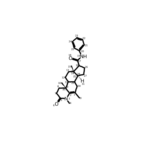 CC1=C2N(C)C(=O)CC[C@]2(C)C2CC[C@]3(C)C(C(=O)Nc4ccccc4)CC[C@H]3C2C1